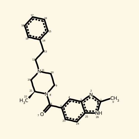 Cc1nc2cc(C(=O)N3CCN(CCc4ccccc4)C[C@@H]3C)ccc2[nH]1